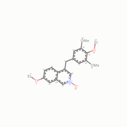 CCOc1ccc2c(Cc3cc(OC)c(OCC)c(OC)c3)c[n+]([O-])cc2c1